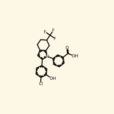 O=C(O)c1cccc(-n2c(-c3ccc(Cl)c(O)c3)cc3c2CC(C(F)(F)F)CC3)c1